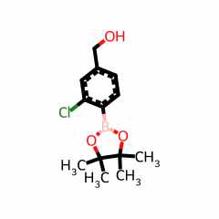 CC1(C)OB(c2ccc(CO)cc2Cl)OC1(C)C